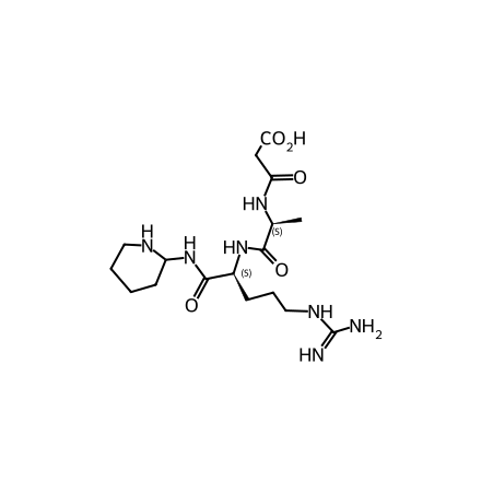 C[C@H](NC(=O)CC(=O)O)C(=O)N[C@@H](CCCNC(=N)N)C(=O)NC1CCCCN1